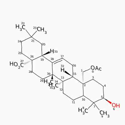 CC(=O)OC[C@]12CC[C@@H](O)C(C)(C)C1CC[C@]1(C)[C@@H]2CC=C2[C@H]3CC(C)(C)CC[C@]3(C(=O)O)CC[C@]21C